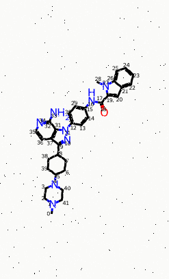 CN1CCN(C2CCC(c3nn(-c4ccc(NC(=O)c5cc6ccccc6n5C)cc4)c4c(N)nccc34)CC2)CC1